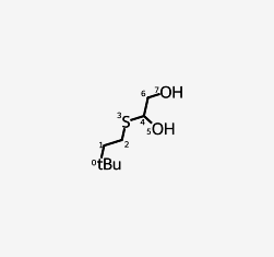 CC(C)(C)CCSC(O)CO